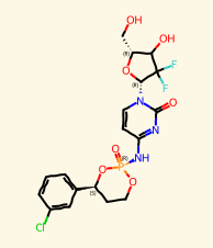 O=c1nc(N[P@@]2(=O)OCC[C@@H](c3cccc(Cl)c3)O2)ccn1[C@@H]1O[C@H](CO)C(O)C1(F)F